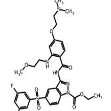 CCOC(=O)n1nc(NC(=O)c2ccc(OCCN(C)C)cc2NCCOC)c2cc(S(=O)(=O)c3cc(F)cc(F)c3)ccc21